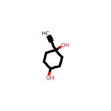 C#CC1(O)CCC(O)CC1